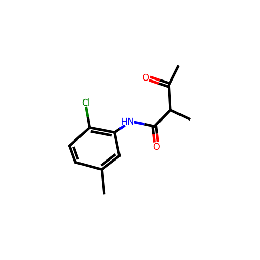 CC(=O)C(C)C(=O)Nc1cc(C)ccc1Cl